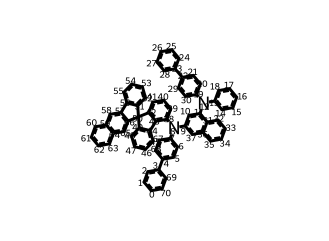 c1ccc(-c2ccc(N(c3cc(N(c4ccccc4)c4ccc(-c5ccccc5)cc4)c4ccccc4c3)c3cccc4c3-c3ccccc3C43c4ccccc4-c4cc5ccccc5cc43)cc2)cc1